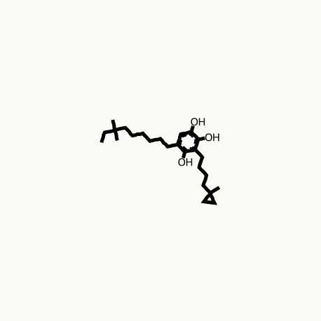 CCC(C)(C)CCCCCCc1cc(O)c(O)c(CCCCC2(C)CC2)c1O